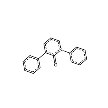 O=c1c(-c2ccccc2)cccn1-c1ccccc1